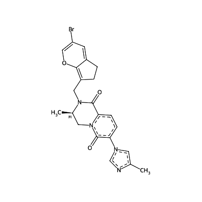 Cc1cn(-c2ccc3n(c2=O)C[C@@H](C)N(CC2=C4OC=C(Br)C=C4CC2)C3=O)cn1